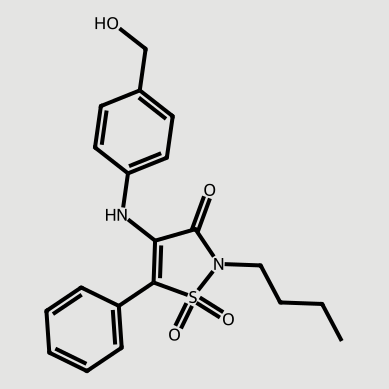 CCCCN1C(=O)C(Nc2ccc(CO)cc2)=C(c2ccccc2)S1(=O)=O